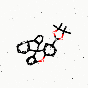 CC1(C)OB(c2ccc3c(c2)C2(C4=C(C=CCC4)c4ccccc42)c2ccccc2O3)OC1(C)C